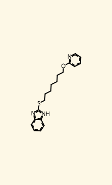 c1ccc(OCCCCCCCSc2nc3ccccc3[nH]2)nc1